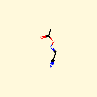 CC(=O)ON=CC#N